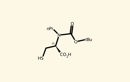 CCCN(C(=O)OC(C)(C)C)[C@H](CS)C(=O)O